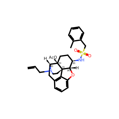 C=CCN1CC[C@]23c4c5cccc4O[C@H]2[C@H](NS(=O)(=O)Cc2ccccc2C)CC[C@@]3(OC(C)=O)[C@H]1C5